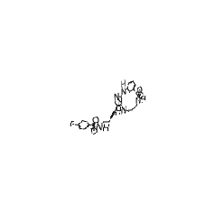 O=S(=O)(NCCC#Cc1cnc2nc1NCCCNS(=O)(=O)c1cccc(c1)N2)c1ccc(F)cc1